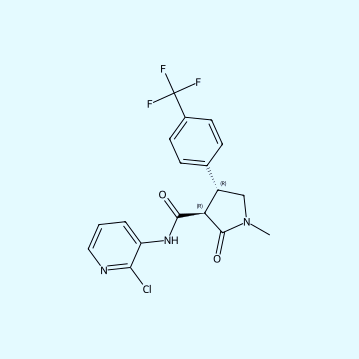 CN1C[C@@H](c2ccc(C(F)(F)F)cc2)[C@H](C(=O)Nc2cccnc2Cl)C1=O